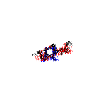 CCCC(CCC)C(=O)OCC1OC(OC2C(CO)OC(Oc3ccc(CC4NC(=O)C(C(CC)c5ccccc5)NC(=O)CNC(=O)C(CO)NC(=O)C(C(O)C5CNC(=N)N5C5OC(COC(=O)C(CCC)CCC)C(O)C(O)C5O)NC(=O)C(C(O)C5CNC(=N)N5)NC4=O)cc3)C(O)C2O)C(O)C(O)C1O